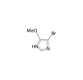 COc1[nH]cnc1Br